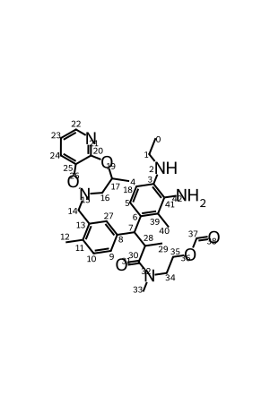 CCNc1ccc(C(c2ccc(C)c(CN3CC(C)Oc4ncccc4O3)c2)C(C)C(=O)N(C)CCOC=O)c(C)c1N